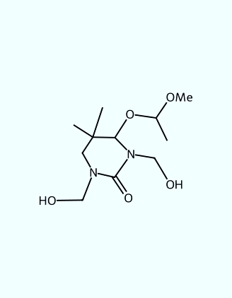 COC(C)OC1N(CO)C(=O)N(CO)CC1(C)C